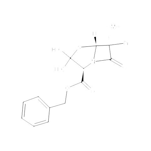 CO[C@]1(Br)C(=O)N2[C@@H](C(=O)OCc3ccccc3)C(C)(C)S[C@@H]21